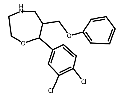 Clc1ccc(C2OCCNCC2COc2ccccc2)cc1Cl